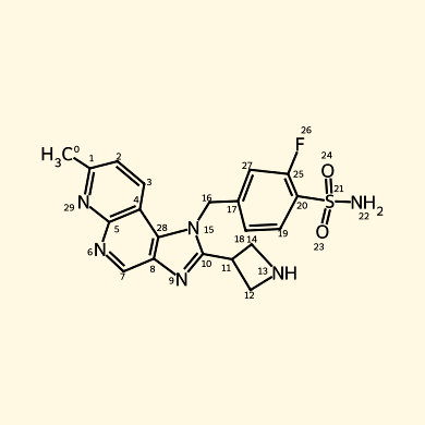 Cc1ccc2c(ncc3nc(C4CNC4)n(Cc4ccc(S(N)(=O)=O)c(F)c4)c32)n1